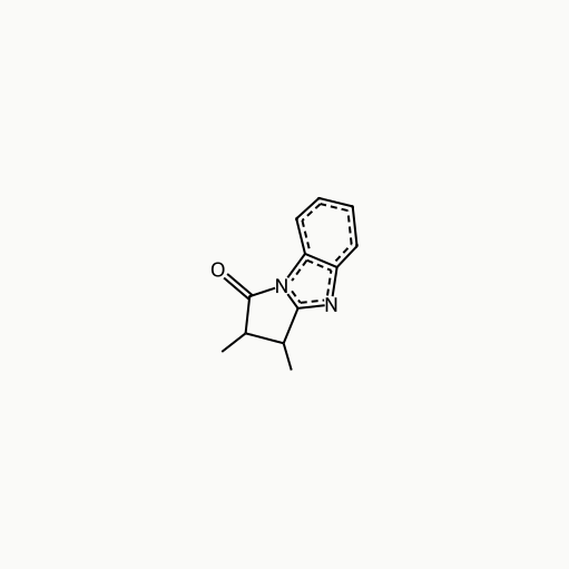 CC1C(=O)n2c(nc3ccccc32)C1C